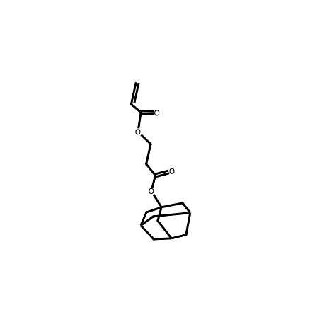 C=CC(=O)OCCC(=O)OC12CC3CC(CC(C3)C1)C2